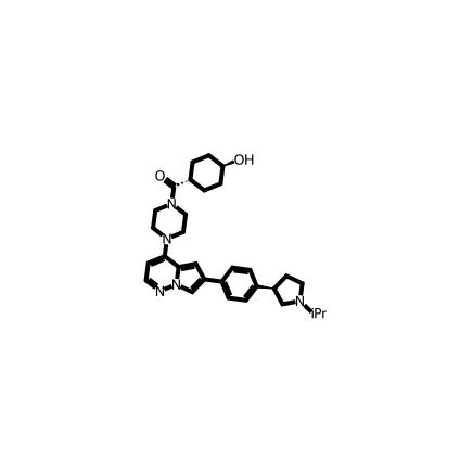 CC(C)N1CC[C@H](c2ccc(-c3cc4c(N5CCN(C(=O)[C@H]6CC[C@H](O)CC6)CC5)ccnn4c3)cc2)C1